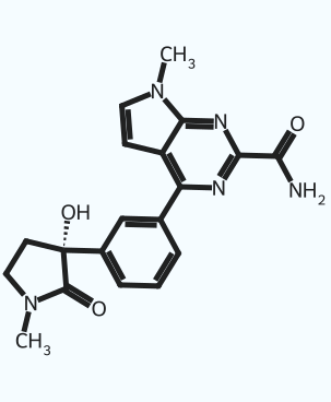 CN1CC[C@@](O)(c2cccc(-c3nc(C(N)=O)nc4c3ccn4C)c2)C1=O